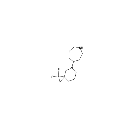 FC1(F)CC12CCCN(C1CCCNCC1)C2